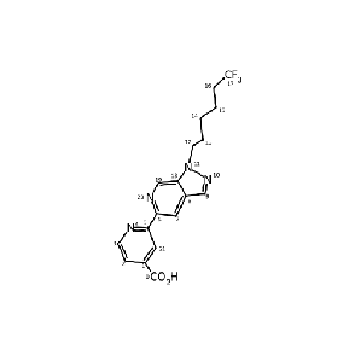 O=C(O)c1ccnc(-c2cc3cnn(CCCCCC(F)(F)F)c3cn2)c1